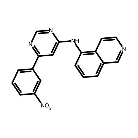 O=[N+]([O-])c1cccc(-c2cc(Nc3cccc4cnccc34)ncn2)c1